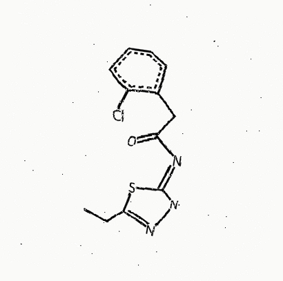 CCC1=N[N]C(=NC(=O)Cc2ccccc2Cl)S1